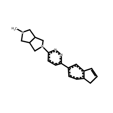 CN1CC2CN(c3ccc(-c4ccc5c(c4)C=CC5)nn3)CC2C1